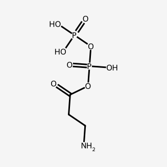 NCCC(=O)OP(=O)(O)OP(=O)(O)O